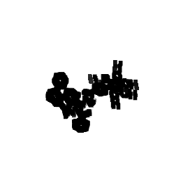 Bc1c(O)c(O)c(O)c(O)c1-c1ccc(C(C)N(C)C(c2cccc(-c3c(-c4ccccc4)cccc3C3CC3)c2C)N(C)C(C)c2ccccc2)cc1